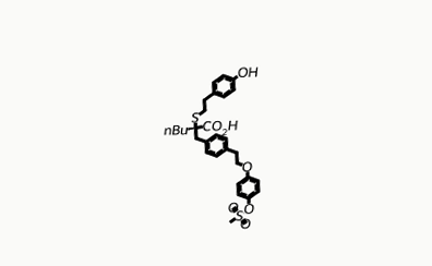 CCCC[C@@](Cc1ccc(CCOc2ccc(OS(C)(=O)=O)cc2)cc1)(SCCc1ccc(O)cc1)C(=O)O